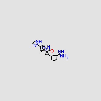 N=C(N)c1cccc(C2CC2(C(N)=O)c2ccc(-c3ncc[nH]3)cc2)c1